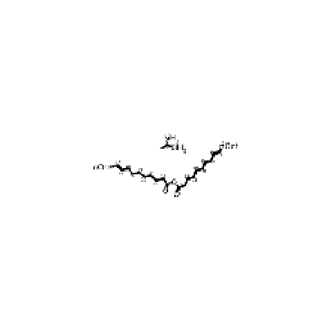 CC([SiH3])[SiH3].CCCCCCCCC=CCCCCCCCC(=O)OC(=O)CCCCCCCC=CCCCCCCCC